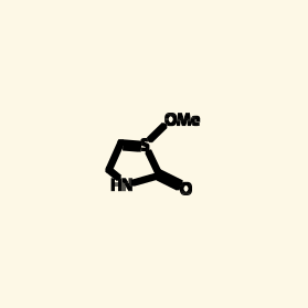 COS1=CCNC1=O